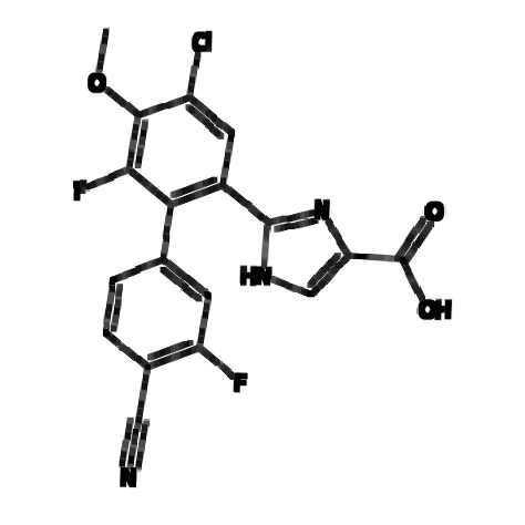 COc1c(Cl)cc(-c2nc(C(=O)O)c[nH]2)c(-c2ccc(C#N)c(F)c2)c1F